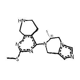 CSc1nc2c(c(N3Cc4cncn4C[C@H]3C)n1)CCNC2